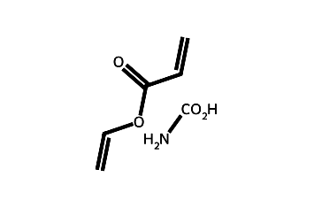 C=COC(=O)C=C.NC(=O)O